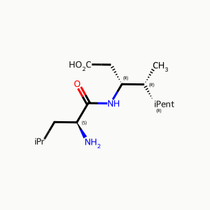 CCC[C@@H](C)[C@@H](C)[C@@H](CC(=O)O)NC(=O)[C@@H](N)CC(C)C